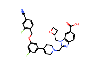 N#Cc1ccc(COc2cc(F)cc(C3=CCN(Cc4nc5ccc(C(=O)O)cc5n4C[C@@H]4CCO4)CC3)c2)c(F)c1